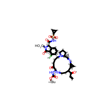 C=CC(=O)C1CCN[C@@H](NC(=O)OC(C)(C)C)C(=O)CC[C@H](c2ccc3c(c2F)C(=O)N(C(=O)O)[C@H]3C(=O)NS(=O)(=O)C2CC2)N2CCC[C@H]2/C=N\C2=C1C2